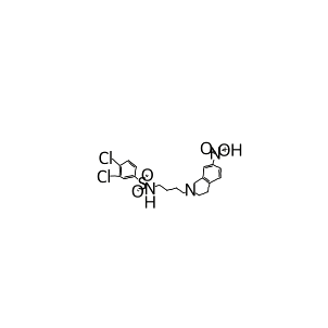 O=[N+](O)c1ccc2c(c1)CN(CCCCNS(=O)(=O)c1ccc(Cl)c(Cl)c1)CC2